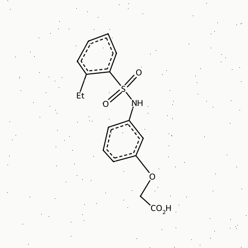 CCc1ccccc1S(=O)(=O)Nc1cccc(OCC(=O)O)c1